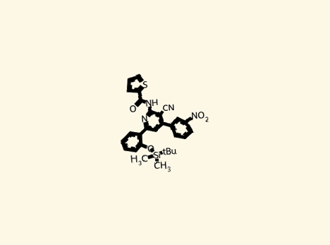 CC(C)(C)[Si](C)(C)Oc1ccccc1-c1cc(-c2cccc([N+](=O)[O-])c2)c(C#N)c(NC(=O)c2cccs2)n1